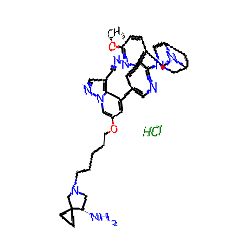 COc1ccc(CN2C3CC2CN(c2ccc(-c4cc(OCCCCCN5C[C@H](N)C6(CC6)C5)cn5ncc(C#N)c45)cn2)C3)cn1.Cl